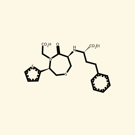 CCOC(=O)[C@H](CCc1ccccc1)N[C@H]1CSC[C@@H](c2cccs2)N(CC(=O)O)C1=O